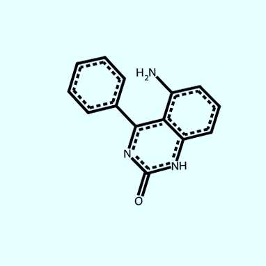 Nc1cccc2[nH]c(=O)nc(-c3ccccc3)c12